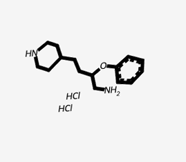 Cl.Cl.NCC(CCC1CCNCC1)Oc1ccccc1